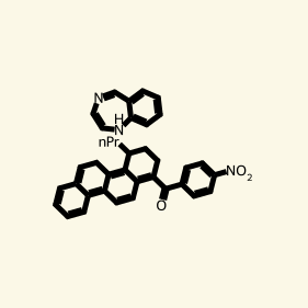 C1=CNc2ccccc2C=N1.CCCC1CCC(C(=O)c2ccc([N+](=O)[O-])cc2)=c2ccc3c(c21)CC=c1ccccc1=3